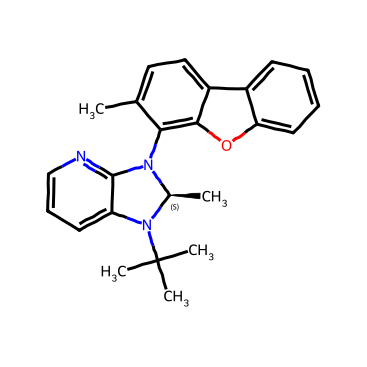 Cc1ccc2c(oc3ccccc32)c1N1c2ncccc2N(C(C)(C)C)[C@@H]1C